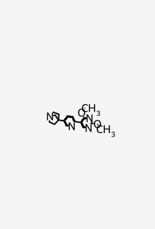 COc1ncc(-c2ccc(C34CCN(CC3)C4)cn2)c(OC)n1